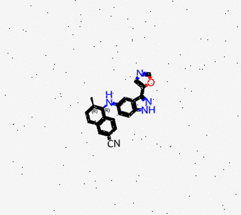 C[C@@H]1CCc2cc(C#N)ccc2[C@@H]1Nc1ccc2[nH]nc(-c3cnco3)c2c1